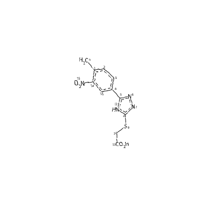 Cc1ccc(-c2nnc(SCC(=O)O)[nH]2)cc1[N+](=O)[O-]